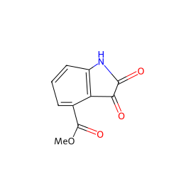 COC(=O)c1cccc2c1C(=O)C(=O)N2